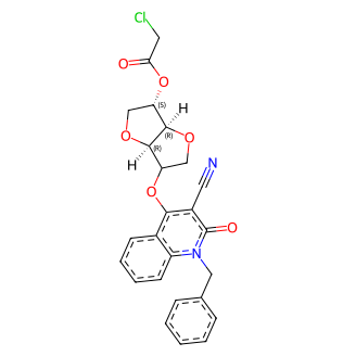 N#Cc1c(OC2CO[C@@H]3[C@@H](OC(=O)CCl)CO[C@H]23)c2ccccc2n(Cc2ccccc2)c1=O